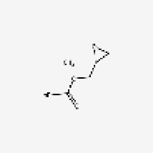 C.CCCC(=O)OCC1CO1